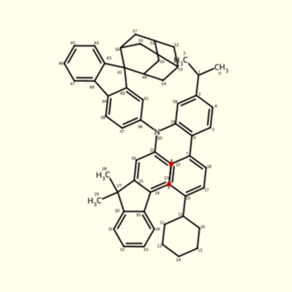 CC(C)c1ccc(-c2ccc(C3CCCCC3)cc2)c(N(c2ccc3c(c2)C(C)(C)c2ccccc2-3)c2ccc3c(c2)C2(c4ccccc4-3)C3CC4CC(C3)CC2C4)c1